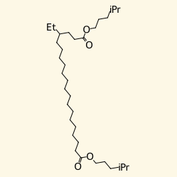 CCC(CCCCCCCCCCCCCCCC(=O)OCCCC(C)C)CCC(=O)OCCCC(C)C